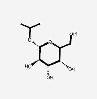 CC(C)O[C@@H]1OC(CO)[C@H](O)[C@H](O)[C@H]1O